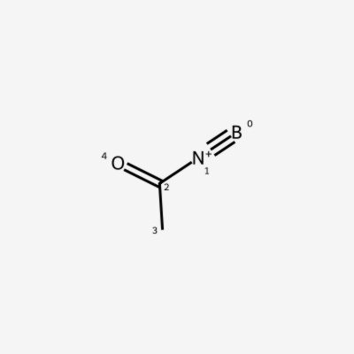 B#[N+]C(C)=O